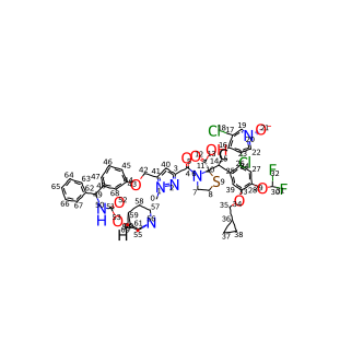 Cn1nc(C(=O)N2CCS[C@]2(C(=O)O)[C@@H](Cc2c(Cl)c[n+]([O-])cc2Cl)c2ccc(OC(F)F)c(OCC3CC3)c2)cc1COc1cccc(C(NC(=O)O[C@H]2CN3CCC2CC3)c2ccccc2)c1